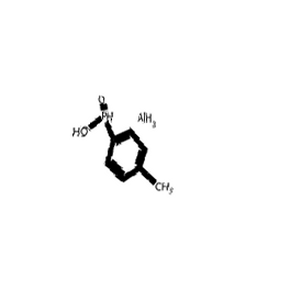 Cc1ccc([PH](=O)O)cc1.[AlH3]